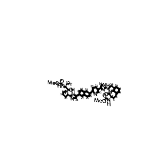 COC(=O)N[C@H]1CCc2cccc3c2N(C1=O)[C@H](c1nc(-c2ccc(-c4ccc5cc(-c6cnc([C@@H]7CCCN7C(=O)[C@@H](NC(=O)OC)C(C)C)[nH]6)ccc5c4)nc2)c[nH]1)C3